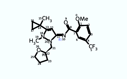 COc1ccc(C(F)(F)F)cc1C(=O)/N=c1\cc(C2(C)CC2)n(C)n1C[C@H]1CCCO1